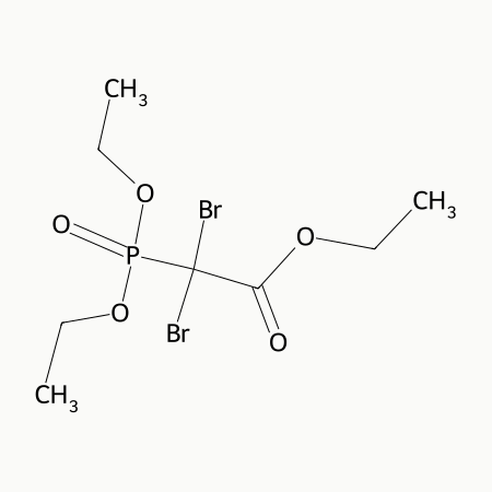 CCOC(=O)C(Br)(Br)P(=O)(OCC)OCC